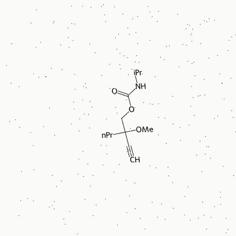 C#CC(CCC)(COC(=O)NC(C)C)OC